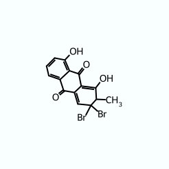 CC1C(O)=C2C(=O)c3c(O)cccc3C(=O)C2=CC1(Br)Br